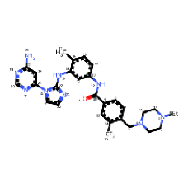 CCN1CCN(Cc2ccc(C(=O)Nc3ccc(C)c(Nc4nccn4-c4cc(N)ncn4)c3)cc2C(F)(F)F)CC1